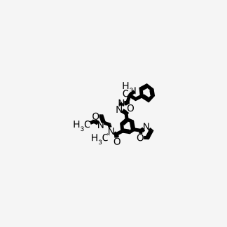 Cc1nc(CN(C)C(=O)c2cc(-c3ncco3)cc(-c3nnc([C@](C)(I)Cc4ccccc4)o3)c2)co1